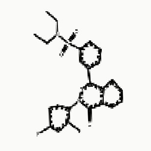 CCN(CC)S(=O)(=O)c1cccc(-c2nn(-c3ccc(F)cc3F)c(=O)c3ccccc23)c1